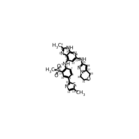 Cc1nc2c(Nc3ccc(-c4ncc(C)s4)cc3S(C)(=O)=O)cc(Nc3cc4n(n3)CCOC4)nc2[nH]1